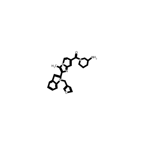 Cc1c(-c2cc3ccccc3n2Cc2ccoc2)nc2cc(C(=O)N3CCCC(N)C3)ccn12